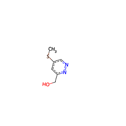 CSc1cnnc(CO)c1